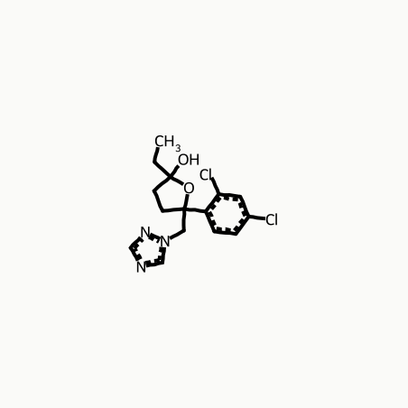 CCC1(O)CCC(Cn2cncn2)(c2ccc(Cl)cc2Cl)O1